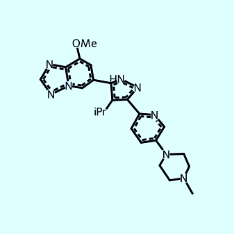 COc1cc(-c2[nH]nc(-c3ccc(N4CCN(C)CC4)cn3)c2C(C)C)cn2ncnc12